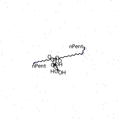 CCCCC/C=C\C/C=C\CCCCCCCCCCCC(=O)O[C@H](COC(=O)CCCCCCC/C=C\CCCCC)COP(=O)(O)OC[C@@H](O)CO